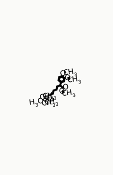 COC(=O)C(CCCCCO[Si](C)(C)C(C)(C)C)c1ccc(OC)c(OC)c1